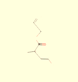 C=CCOC(=O)C(CCO)CCCC